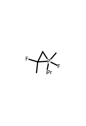 CC(C)P1(C)(F)CC1(C)F